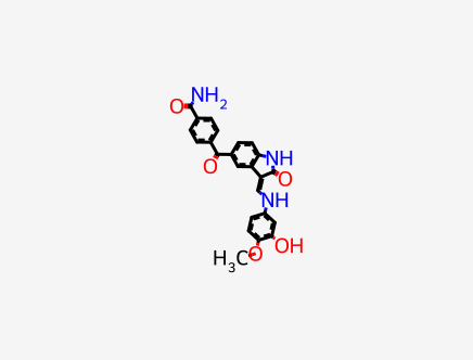 COc1ccc(NC=C2C(=O)Nc3ccc(C(=O)c4ccc(C(N)=O)cc4)cc32)cc1O